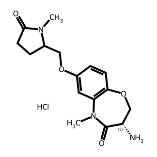 CN1C(=O)[C@@H](N)COc2ccc(OCC3CCC(=O)N3C)cc21.Cl